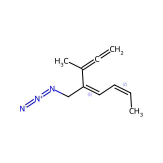 C=C=C(C)/C(=C\C=C/C)CN=[N+]=[N-]